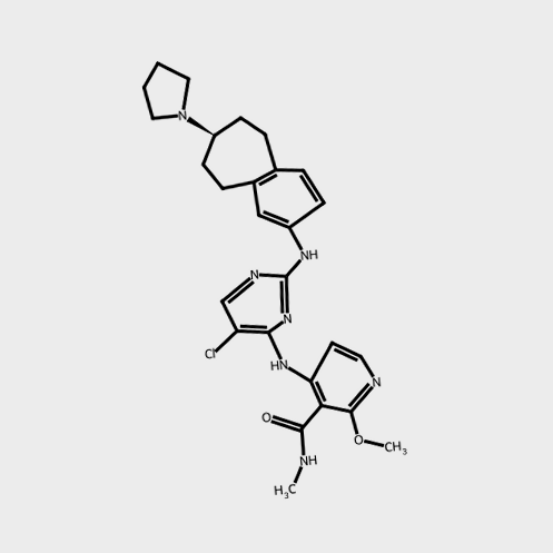 CNC(=O)c1c(Nc2nc(Nc3ccc4c(c3)CC[C@@H](N3CCCC3)CC4)ncc2Cl)ccnc1OC